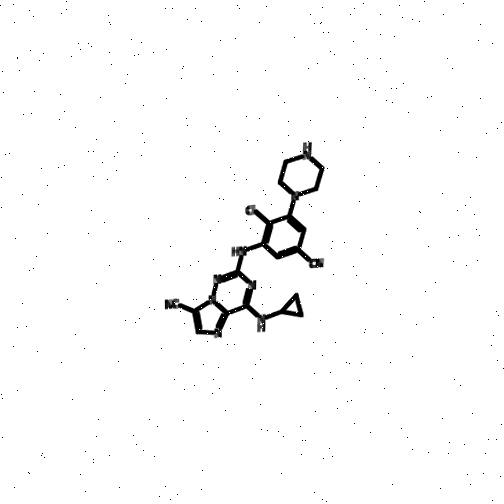 N#Cc1cc(Nc2nc(NC3CC3)c3ncc(C#N)n3n2)c(Cl)c(N2CCNCC2)c1